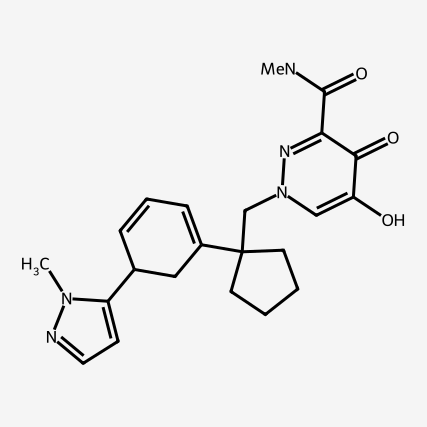 CNC(=O)c1nn(CC2(C3=CC=CC(c4ccnn4C)C3)CCCC2)cc(O)c1=O